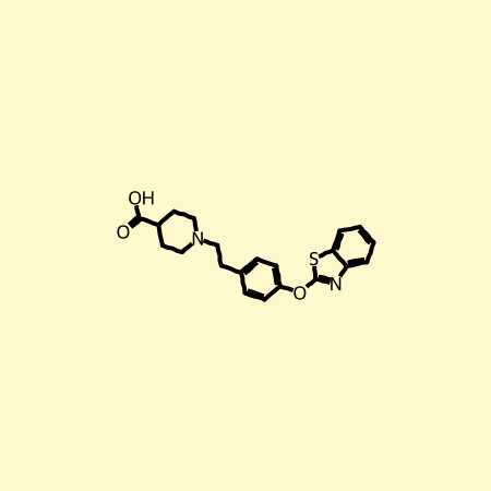 O=C(O)C1CCN(CCc2ccc(Oc3nc4ccccc4s3)cc2)CC1